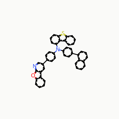 c1ccc2c(-c3ccc(N(c4ccc(-c5cnc6oc7ccccc7c6c5)cc4)c4cccc5sc6ccccc6c45)cc3)cccc2c1